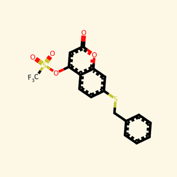 O=c1cc(OS(=O)(=O)C(F)(F)F)c2ccc(SCc3ccccc3)cc2o1